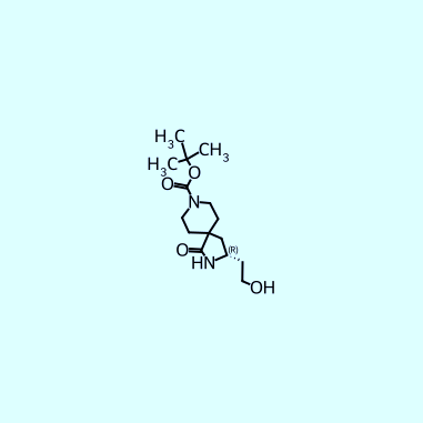 CC(C)(C)OC(=O)N1CCC2(CC1)C[C@H](CCO)NC2=O